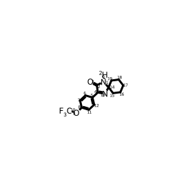 [2H]N1C(=O)C(c2ccc(OC(F)(F)F)cc2)=NC12CCCCC2